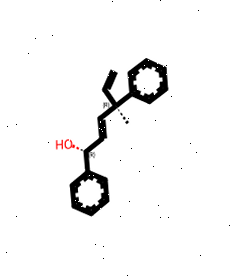 C=C[C@](C)(C=C[C@@H](O)c1ccccc1)c1ccccc1